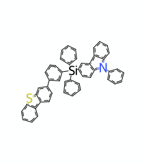 c1ccc(-n2c3ccccc3c3cc([Si](c4ccccc4)(c4ccccc4)c4cccc(-c5ccc6c(c5)sc5ccccc56)c4)ccc32)cc1